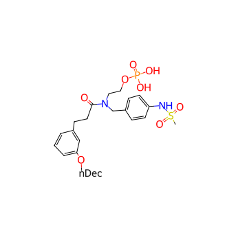 CCCCCCCCCCOc1cccc(CCC(=O)N(CCOP(=O)(O)O)Cc2ccc(NS(C)(=O)=O)cc2)c1